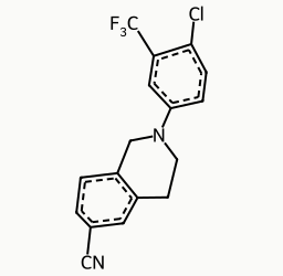 N#Cc1ccc2c(c1)CCN(c1ccc(Cl)c(C(F)(F)F)c1)C2